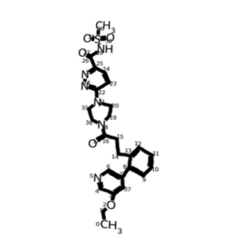 CCOc1cncc(-c2ccccc2CCC(=O)N2CCN(c3ccc(C(=O)NS(C)(=O)=O)nn3)CC2)c1